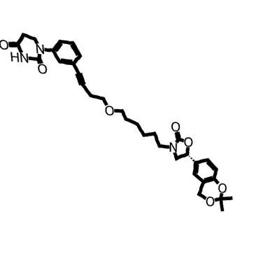 CC1(C)OCc2cc([C@@H]3CN(CCCCCCOCCC#Cc4cccc(N5CCC(=O)NC5=O)c4)C(=O)O3)ccc2O1